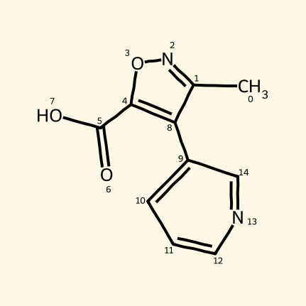 Cc1noc(C(=O)O)c1-c1cccnc1